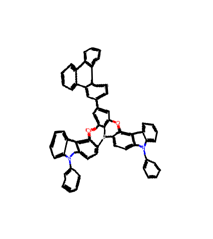 c1ccc(-n2c3ccccc3c3c4c(ccc32)B2c3ccc5c(c3Oc3cc(-c6ccc7c8ccccc8c8ccccc8c7c6)cc(c32)O4)c2ccccc2n5-c2ccccc2)cc1